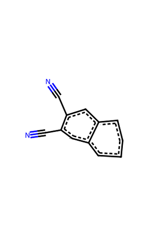 N#Cc1[c]c2ccccc2cc1C#N